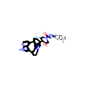 Cc1cc(-c2ccnc3[nH]cc(-c4cccnc4)c23)cc(F)c1C1(O)[C@H](C)CN(C(=O)CNC(=O)O)C[C@@H]1C